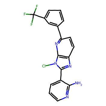 Nc1ncccc1-c1nc2ccc(-c3cccc(C(F)(F)F)c3)nc2n1Cl